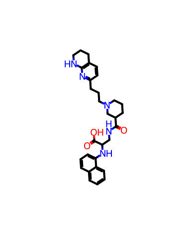 O=C(NCC(Nc1cccc2ccccc12)C(=O)O)C1CCCN(CCCc2ccc3c(n2)NCCC3)C1